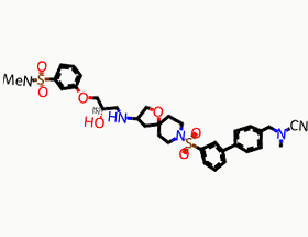 CNS(=O)(=O)c1cccc(OC[C@@H](O)CNC2COC3(CCN(S(=O)(=O)c4cccc(-c5ccc(CN(C)C#N)cc5)c4)CC3)C2)c1